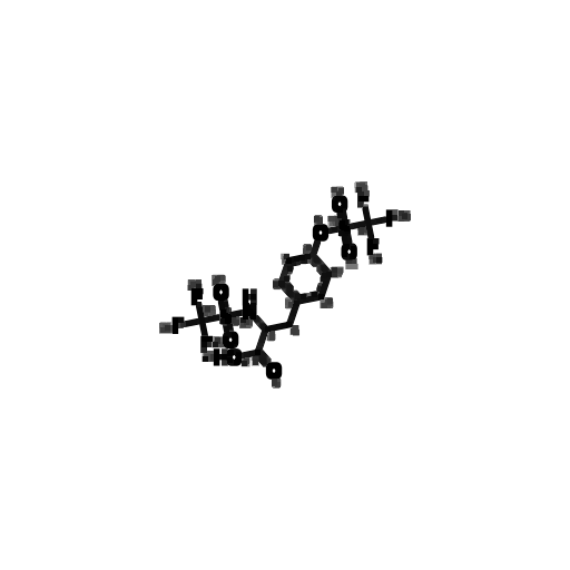 O=C(O)C(Cc1ccc(OS(=O)(=O)C(F)(F)F)cc1)NS(=O)(=O)C(F)(F)F